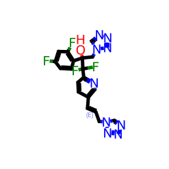 OC(Cn1cnnn1)(c1ccc(F)cc1F)C(F)(F)c1ccc(/C=C/Cn2cnnn2)cn1